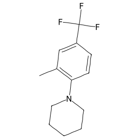 Cc1cc(C(F)(F)F)ccc1N1CCCCC1